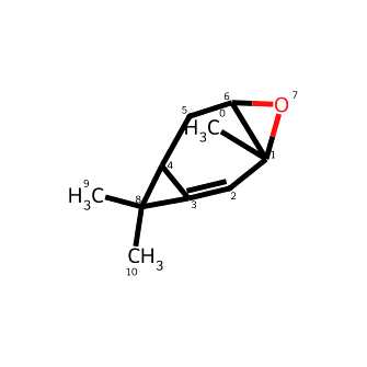 CC12C=C3C(CC1O2)C3(C)C